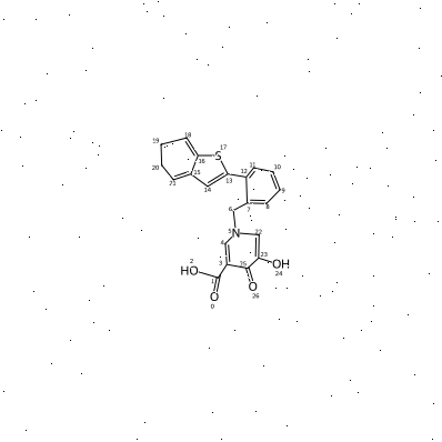 O=C(O)c1cn(Cc2ccccc2-c2cc3c(s2)=CCCC=3)cc(O)c1=O